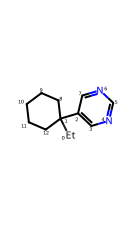 CCC1(c2cncnc2)CCCCC1